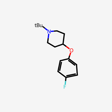 CC(C)(C)N1CCC(Oc2ccc(F)cc2)CC1